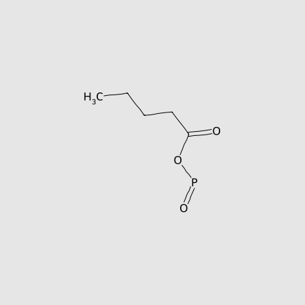 CCCCC(=O)OP=O